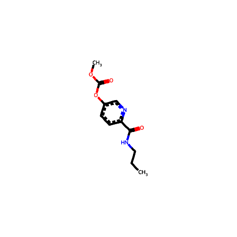 CCCNC(=O)c1ccc(OC(=O)OC)cn1